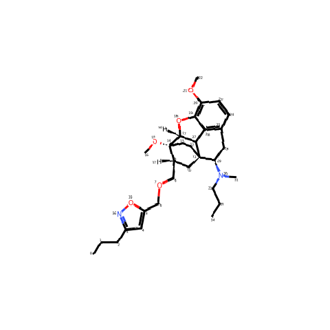 CCCc1cc(COC[C@H]2C[C@@]34CC[C@]2(OC)[C@@H]2Oc5c(OC)ccc(c5C23)C[C@H]4N(C)CCC)on1